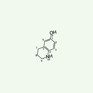 Oc1ccc2c(c1)CC[CH]N2